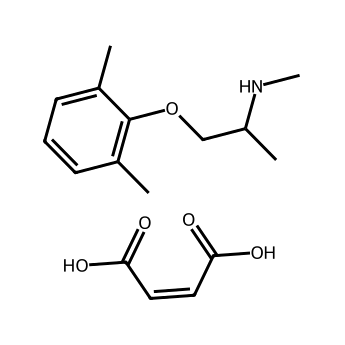 CNC(C)COc1c(C)cccc1C.O=C(O)/C=C\C(=O)O